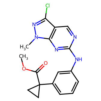 COC(=O)C1(c2cccc(Nc3ncc4c(Cl)nn(C)c4n3)c2)CC1